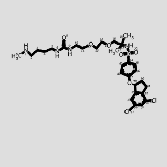 CNCCCCNC(=O)NCCOCCOCC(C)(C)NS(=O)(=O)c1ccc(O[C@@H]2CCc3c(Cl)cc(Cl)cc32)cc1